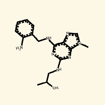 CC(O)CNc1nc(NCc2ccccc2N)c2ncn(C)c2n1